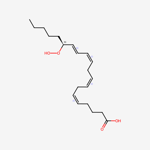 CCCCC[C@@H](/C=C/C=C\C/C=C\C/C=C\CCCC(=O)O)OO